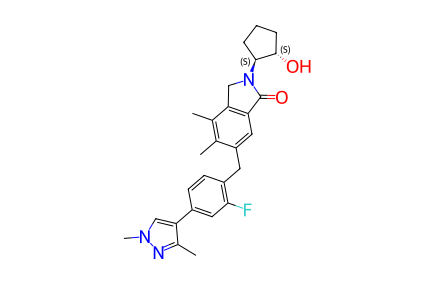 Cc1nn(C)cc1-c1ccc(Cc2cc3c(c(C)c2C)CN([C@H]2CCC[C@@H]2O)C3=O)c(F)c1